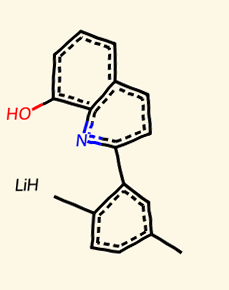 Cc1ccc(C)c(-c2ccc3cccc(O)c3n2)c1.[LiH]